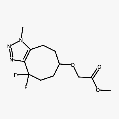 COC(=O)COC1CCc2c(nnn2C)C(F)(F)CC1